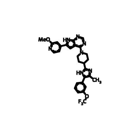 COc1cc(-c2cc3c(N4CCC(c5nc(C)c(-c6cccc(OC(F)(F)F)c6)[nH]5)CC4)ncnc3[nH]2)ccn1